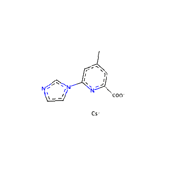 Cc1cc(C(=O)[O-])nc(-n2ccnc2)c1.[Cs+]